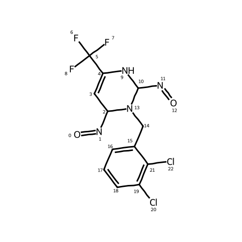 O=NC1C=C(C(F)(F)F)NC(N=O)N1Cc1cccc(Cl)c1Cl